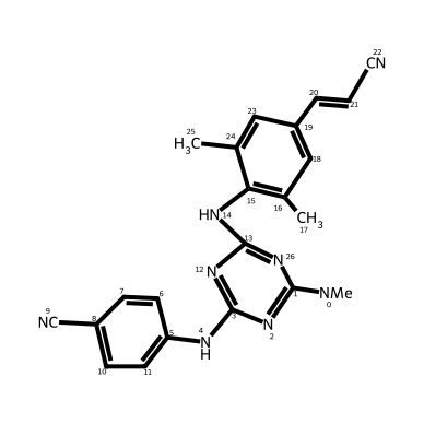 CNc1nc(Nc2ccc(C#N)cc2)nc(Nc2c(C)cc(C=CC#N)cc2C)n1